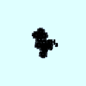 Cc1cc(-c2cccc3c2-c2ccccc2C32c3ccccc3-c3ccccc32)ccc1-c1c(C)cccc1-c1nc(-c2ccccc2)cc(-c2ccccc2)n1